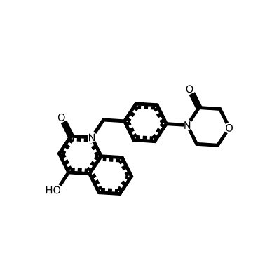 O=C1COCCN1c1ccc(Cn2c(=O)cc(O)c3ccccc32)cc1